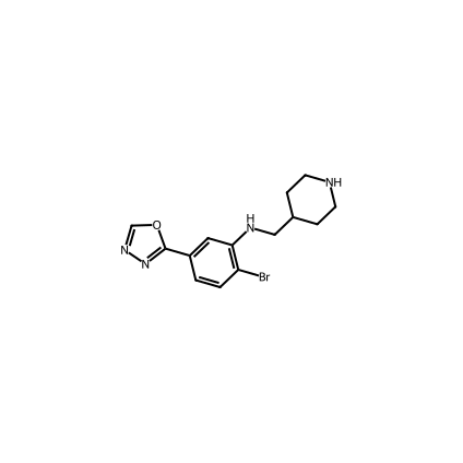 Brc1ccc(-c2nnco2)cc1NCC1CCNCC1